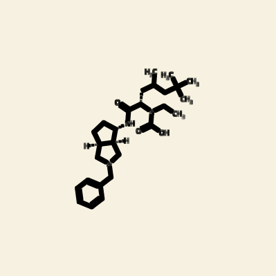 CCN(C(=O)O)[C@@H](CC(C)CC(C)(C)C)C(=O)N[C@H]1CC[C@@H]2CN(Cc3ccccc3)C[C@@H]21